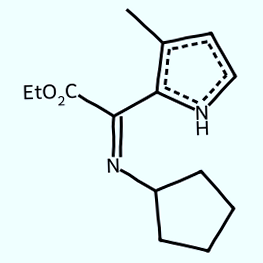 CCOC(=O)C(=NC1CCCC1)c1[nH]ccc1C